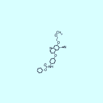 COCCOc1cc2nccc(Oc3ccc(NC(=O)Oc4ccccc4)cc3)c2cc1C#N